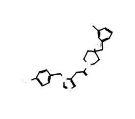 Cc1cccc(CC2(C#N)CCN(C(=O)Cc3cncn3Cc3ccc(C#N)cc3)CC2)c1